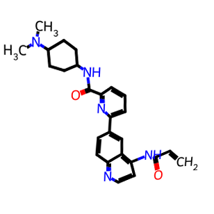 C=CC(=O)Nc1ccnc2ccc(-c3cccc(C(=O)NC4CCC(N(C)C)CC4)n3)cc12